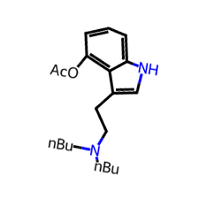 CCCCN(CCCC)CCc1c[nH]c2cccc(OC(C)=O)c12